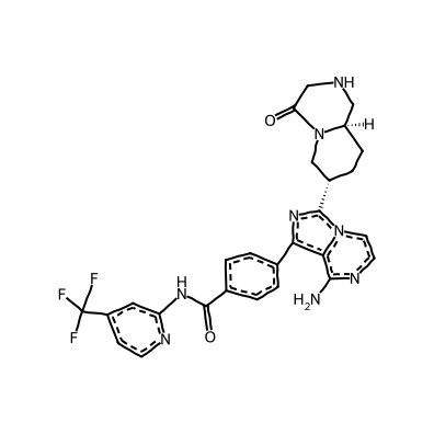 Nc1nccn2c([C@H]3CC[C@@H]4CNCC(=O)N4C3)nc(-c3ccc(C(=O)Nc4cc(C(F)(F)F)ccn4)cc3)c12